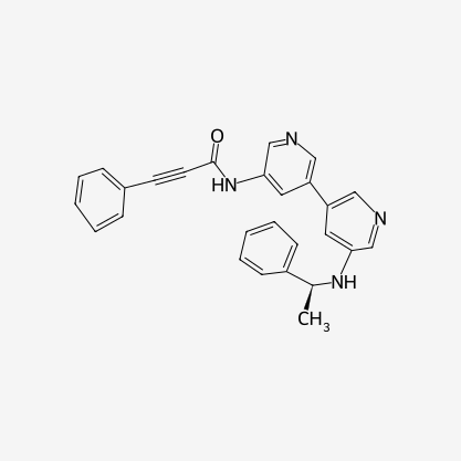 C[C@H](Nc1cncc(-c2cncc(NC(=O)C#Cc3ccccc3)c2)c1)c1ccccc1